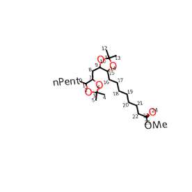 CCCCCC1OC(C)(C)OC1CC1OC(C)(C)OC1CCCCCCCC(=O)OC